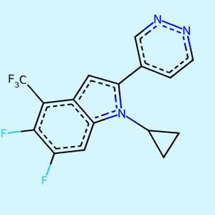 Fc1cc2c(cc(-c3ccnnc3)n2C2CC2)c(C(F)(F)F)c1F